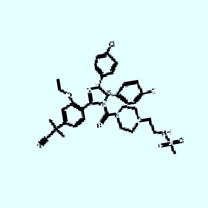 CCOc1cc(C(C)(C)C#N)ccc1C1=N[C@@H](c2ccc(Cl)cc2)[C@@H](c2ccc(Cl)cc2)N1C(=O)N1CCN(CCNS(C)(=O)=O)CC1